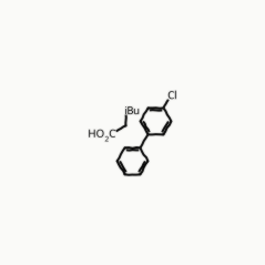 CCC(C)CC(=O)O.Clc1ccc(-c2ccccc2)cc1